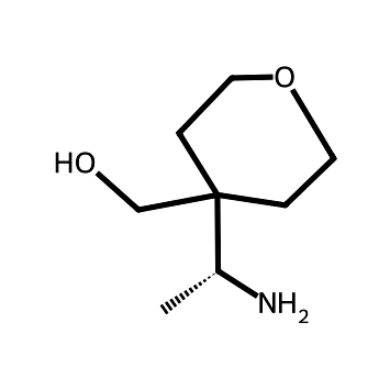 C[C@@H](N)C1(CO)CCOCC1